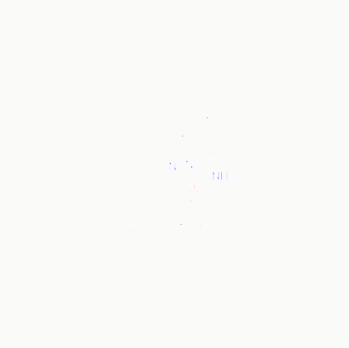 NC(=O)N(/N=C(/Cc1ccccc1)c1ccccc1)c1ccccc1